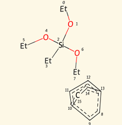 CCO[Si](CC)(OCC)OCC.c1cc2ccc1cc2